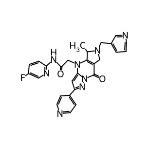 CC1c2c(c(=O)n3nc(-c4ccncc4)cc3n2CC(=O)Nc2ccc(F)cn2)CN1Cc1cccnc1